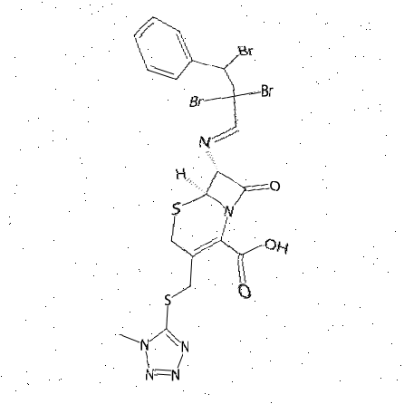 Cn1nnnc1SCC1=C(C(=O)O)N2C(=O)[C@@H](N=CC(Br)(Br)C(Br)c3ccccc3)[C@@H]2SC1